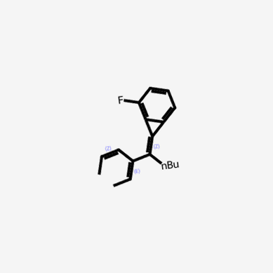 C\C=C/C(=C\C)C(/CCCC)=C1/c2cccc(F)c21